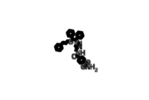 NS(=O)(=O)c1ccc(C(=O)NCc2cn(C(c3ccccc3)[C@@H](OC/C=C/c3ccccc3)c3ccccc3)nn2)cc1